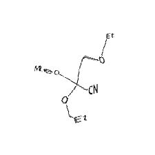 CCOCC(C#N)(OC)OCC